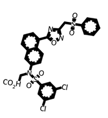 O=C(O)CN(c1ccc2c(-c3nc(CS(=O)(=O)c4ccccc4)no3)cccc2c1)S(=O)(=O)c1cc(Cl)cc(Cl)c1